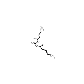 CCCCC(F)OC(=O)OC(F)CCCC